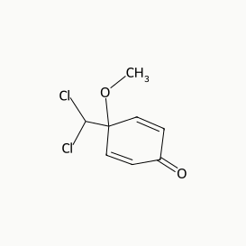 COC1(C(Cl)Cl)C=CC(=O)C=C1